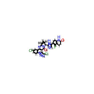 O=C1CCc2c(ccc(-c3cnc([C@@H]4[C@H]5C[C@H]5c5nc(-c6cc(Cl)ccc6-n6cc(Cl)nn6)cc(=O)n54)[nH]3)c2F)N1